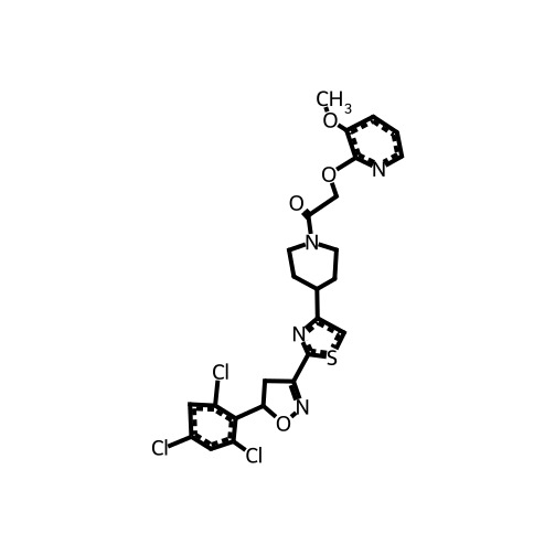 COc1cccnc1OCC(=O)N1CCC(c2csc(C3=NOC(c4c(Cl)cc(Cl)cc4Cl)C3)n2)CC1